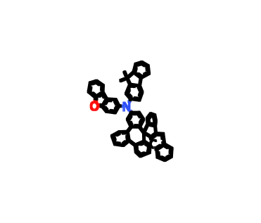 CC1(C)c2ccccc2-c2ccc(N(c3ccc4c(c3)-c3ccccc3-c3ccccc3C43c4ccccc4-c4cc5ccccc5cc43)c3ccc4oc5ccccc5c4c3)cc21